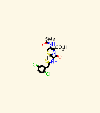 CSC(=O)NC1=C(C(=O)O)N2C(=O)C(NC(=S)Cc3cc(Cl)ccc3Cl)[C@@H]2SC1